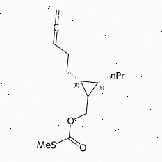 C=C=CCC[C@H]1C(COC(=O)SC)[C@H]1CCC